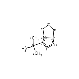 CC(C)(C)c1cnc2n1CCC2